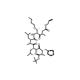 C=CCOC(=O)CN(C)C(=O)[C@@H](NC(=O)[C@H](CC(C)C)N(C)C(=O)[C@H](CC(C)C)NC(=O)[C@H](Cc1ccccc1)N(C)C(=O)OC(C)(C)C)[C@@H](C)OCCCC